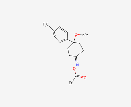 CCCOC1(c2ccc(C(F)(F)F)cc2)CCC(=NOC(=O)CC)CC1